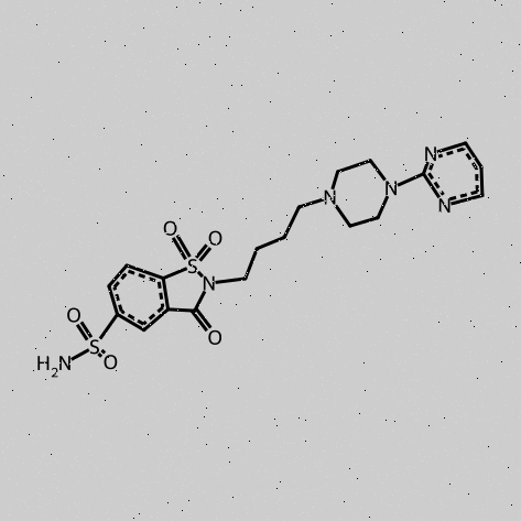 NS(=O)(=O)c1ccc2c(c1)C(=O)N(CCCCN1CCN(c3ncccn3)CC1)S2(=O)=O